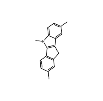 Cc1ccc2c(c1)Cc1c-2n(C)c2ccc(C)cc12